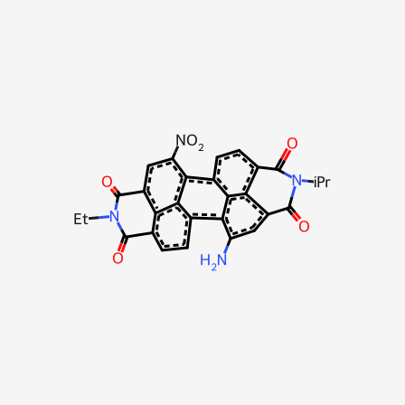 CCN1C(=O)c2ccc3c4c(N)cc5c6c(ccc(c7c([N+](=O)[O-])cc(c2c37)C1=O)c64)C(=O)N(C(C)C)C5=O